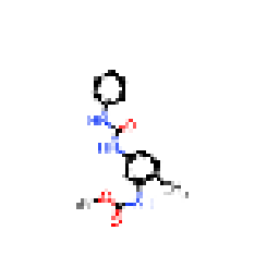 CCCOC(=O)Nc1cc(NC(=O)Nc2ccccc2)ccc1C